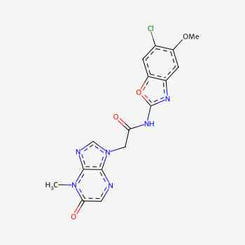 COc1cc2nc(NC(=O)Cn3cnc4c3ncc(=O)n4C)oc2cc1Cl